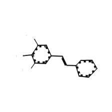 Cc1cc(/C=C/c2ccccc2)cc(C)c1C